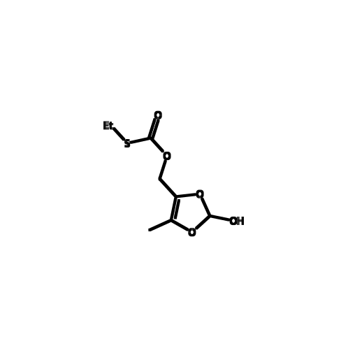 CCSC(=O)OCC1=C(C)OC(O)O1